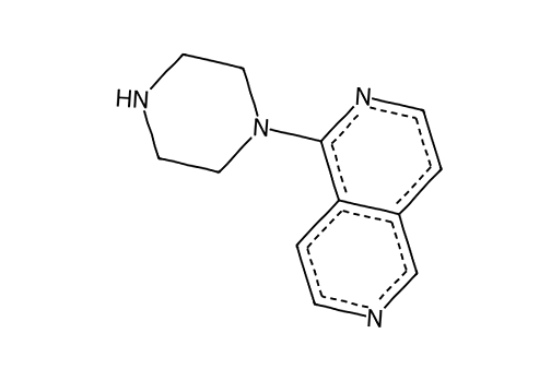 c1cc2c(N3CCNCC3)nccc2cn1